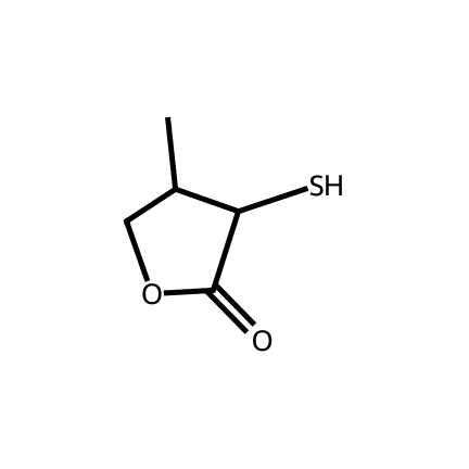 CC1COC(=O)C1S